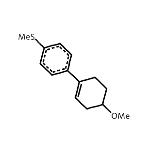 COC1CC=C(c2ccc(SC)cc2)CC1